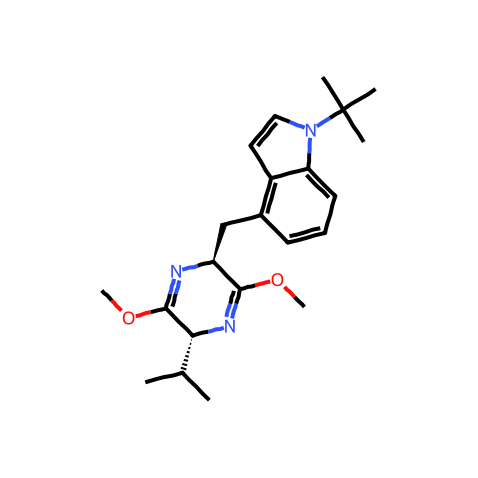 COC1=N[C@H](C(C)C)C(OC)=N[C@H]1Cc1cccc2c1ccn2C(C)(C)C